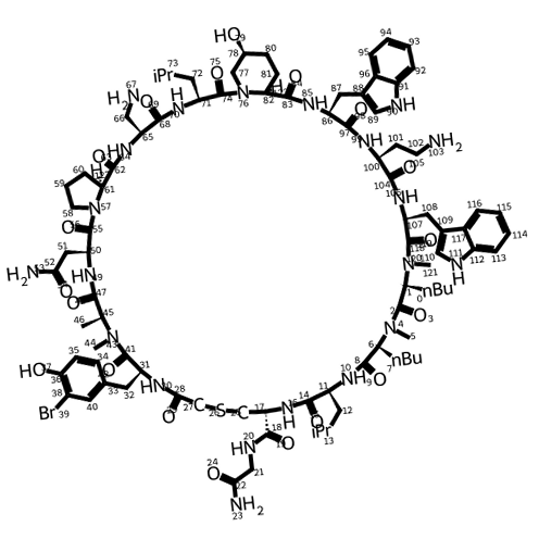 CCCC[C@H]1C(=O)N(C)[C@@H](CCCC)C(=O)N[C@@H](CC(C)C)C(=O)N[C@H](C(=O)NCC(N)=O)CSCC(=O)N[C@@H](Cc2ccc(O)c(Br)c2)C(=O)N(C)[C@@H](C)C(=O)N[C@@H](CC(N)=O)C(=O)N2CCC[C@H]2C(=O)N[C@@H](CN)C(=O)N[C@@H](CC(C)C)C(=O)N2C[C@@H](O)CC[C@H]2C(=O)N[C@@H](Cc2c[nH]c3ccccc23)C(=O)N[C@@H](CCN)C(=O)N[C@@H](Cc2c[nH]c3ccccc23)C(=O)N1C